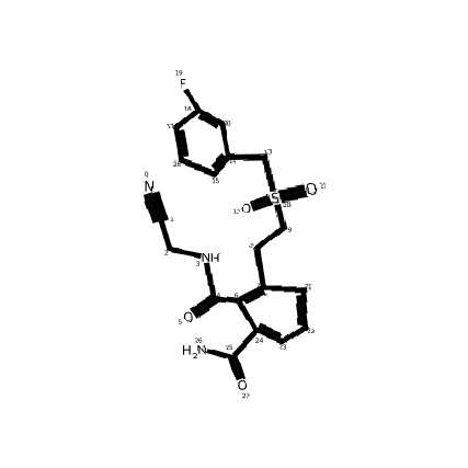 N#CCNC(=O)c1c(CCS(=O)(=O)Cc2cccc(F)c2)cccc1C(N)=O